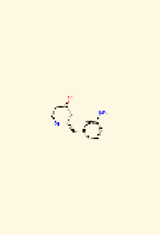 Nc1cccc(C=C2CC(=O)CCN2)c1